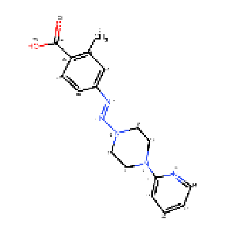 Cc1cc(N=NN2CCN(c3ccccn3)CC2)ccc1C(=O)O